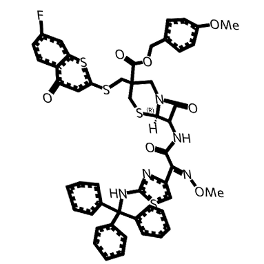 CON=C(C(=O)NC1C(=O)N2CC(CSc3cc(=O)c4ccc(F)cc4s3)(C(=O)OCc3ccc(OC)cc3)CS[C@H]12)c1csc(NC(c2ccccc2)(c2ccccc2)c2ccccc2)n1